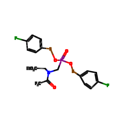 CCOC(=O)CN(CP(=O)(OSc1ccc(F)cc1)OSc1ccc(F)cc1)C(=O)C(F)(F)F